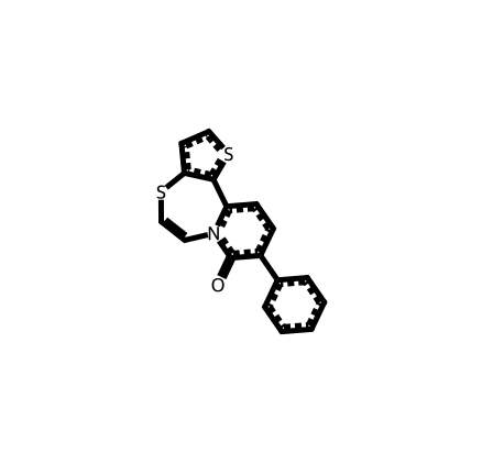 O=c1c(-c2ccccc2)ccc2n1C=CSc1ccsc1-2